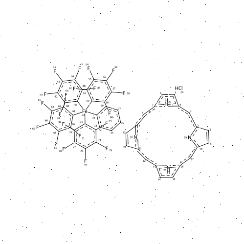 C1=Cc2cc3ccc(cc4nc(cc5ccc(cc1n2)[nH]5)C=C4)[nH]3.Cl.Fc1c(F)c(F)[c]([Fe]([c]2ccccc2)([c]2c(F)c(F)c(F)c(F)c2F)([c]2c(F)c(F)c(F)c(F)c2F)[c]2c(F)c(F)c(F)c(F)c2F)c(F)c1F